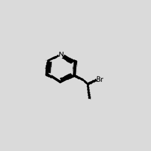 CC(Br)c1cc[c]nc1